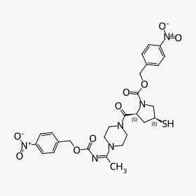 CC(=NC(=O)OCc1ccc([N+](=O)[O-])cc1)N1CCN(C(=O)[C@@H]2C[C@H](S)CN2C(=O)OCc2ccc([N+](=O)[O-])cc2)CC1